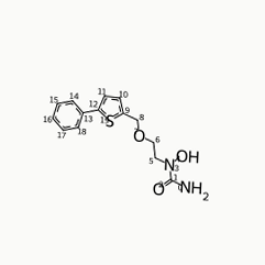 NC(=O)N(O)CCOCc1ccc(-c2ccccc2)s1